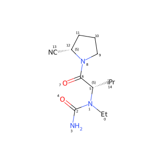 CCN(C(N)=O)[C@H](C(=O)N1CCC[C@H]1C#N)C(C)C